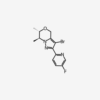 C[C@@H]1OCc2c(Br)c(-c3ccc(F)cn3)nn2[C@H]1C